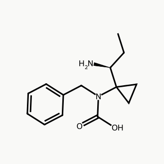 CC[C@H](N)C1(N(Cc2ccccc2)C(=O)O)CC1